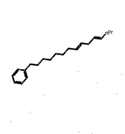 CCC/C=C/C/C=C/CCCCCCCc1c[c]ccc1